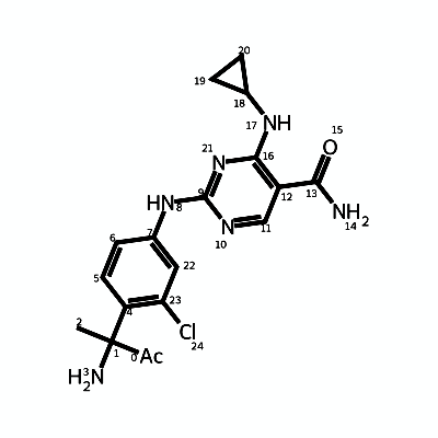 CC(=O)C(C)(N)c1ccc(Nc2ncc(C(N)=O)c(NC3CC3)n2)cc1Cl